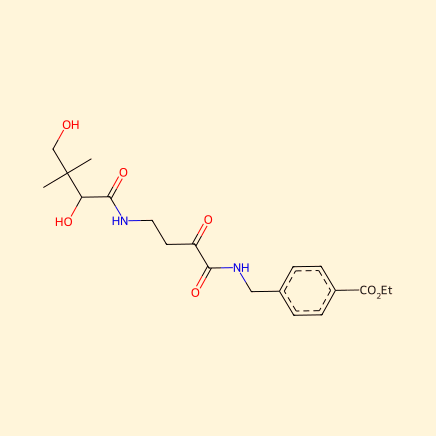 CCOC(=O)c1ccc(CNC(=O)C(=O)CCNC(=O)C(O)C(C)(C)CO)cc1